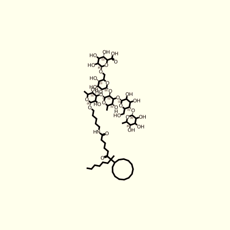 CCCCCCC(C)(C(=O)CCCCC(=O)NCCCCCO[C@@H]1OC(C)[C@H](O)C(O[C@@H]2OC(C)[C@H](O)C(O[C@@H]3OC(CO)[C@@H](O[C@H]4OC(C)[C@H](O)C(O)C4O)C(O)C3O)[C@@H]2O[C@H]2OC(CO[C@@H]3OC(C(=O)O)[C@@H](O)C(O)C3O)[C@@H](O)C(O)C2O)C1O)C1CCCCCCCCCCCC1